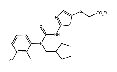 CCOC(=O)CSc1cnc(NC(=O)N(CC2CCCC2)c2cccc(Cl)c2F)s1